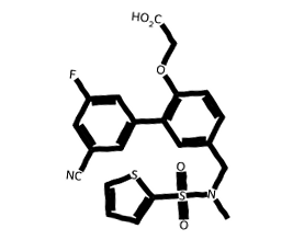 CN(Cc1ccc(OCC(=O)O)c(-c2cc(F)cc(C#N)c2)c1)S(=O)(=O)c1cccs1